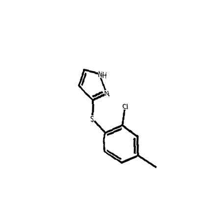 Cc1ccc(Sc2cc[nH]n2)c(Cl)c1